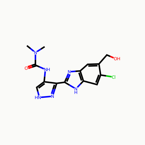 CN(C)C(=O)Nc1c[nH]nc1-c1nc2cc(CO)c(Cl)cc2[nH]1